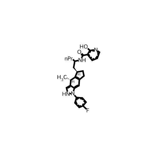 CCCC(C[C@H]1CCC2=C1[C@@H](C)C1=CNN(c3ccc(F)cc3)C1=C2)NC(=O)c1cccnc1O